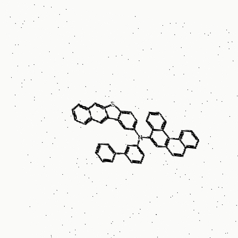 c1ccc(-c2cccc(N(c3ccc4sc5cc6ccccc6cc5c4c3)c3cc4ccc5ccccc5c4c4ccccc34)c2)cc1